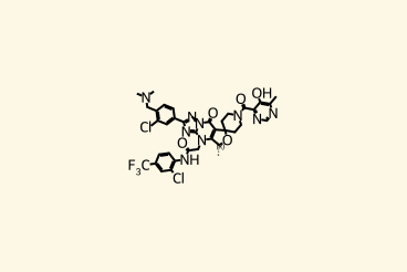 Cc1ncnc(C(=O)N2CCC3(CC2)O[C@H](C)c2c3c(=O)n3nc(-c4ccc(CN(C)C)c(Cl)c4)nc3n2CC(=O)Nc2ccc(C(F)(F)F)cc2Cl)c1O